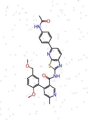 COCc1ccc(OC)c(-c2cc(C)ncc2C(=O)Nc2nc3ccc(-c4ccc(NC(C)=O)cc4)nc3s2)c1